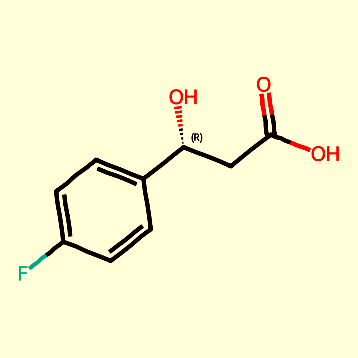 O=C(O)C[C@@H](O)c1ccc(F)cc1